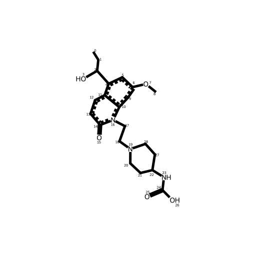 CCC(O)c1cc(OC)cc2c1ccc(=O)n2CCN1CCC(NC(=O)O)CC1